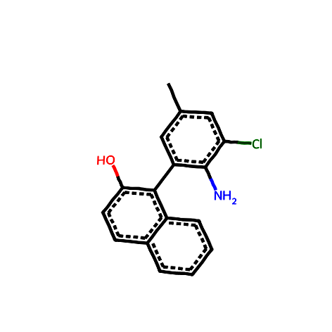 Cc1cc(Cl)c(N)c(-c2c(O)ccc3ccccc23)c1